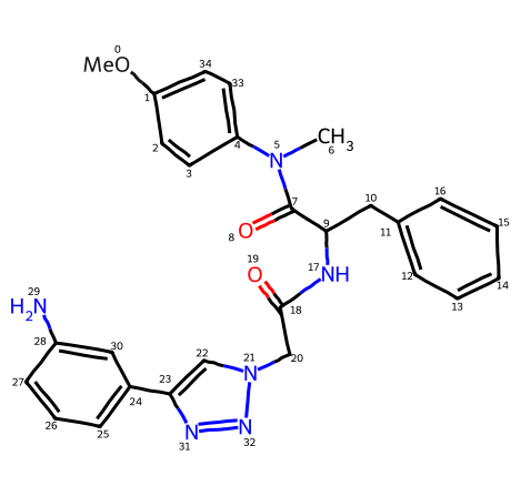 COc1ccc(N(C)C(=O)C(Cc2ccccc2)NC(=O)Cn2cc(-c3cccc(N)c3)nn2)cc1